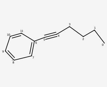 CCCCC#Cc1c[c]ccc1